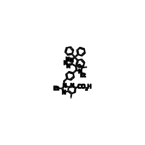 CCc1nc2c(C)cc(C(=O)O)nc2n1Cc1ccc(-c2c(-c3nnnn3C(c3ccccc3)(c3ccccc3)c3ccccc3)cc(C)n2CC)cc1